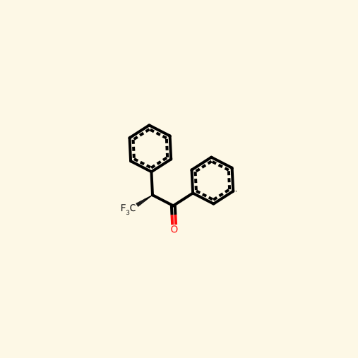 O=C(c1c[c]ccc1)[C@H](c1ccccc1)C(F)(F)F